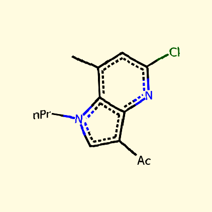 CCCn1cc(C(C)=O)c2nc(Cl)cc(C)c21